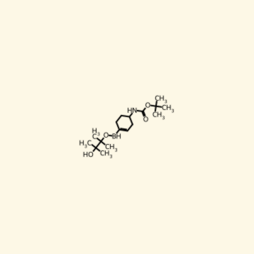 CC(C)(C)OC(=O)NC1CC=C(BOC(C)(C)C(C)(C)O)CC1